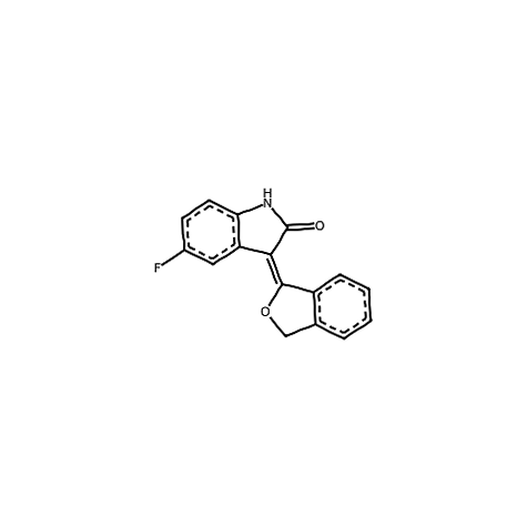 O=C1Nc2ccc(F)cc2C1=C1OCc2ccccc21